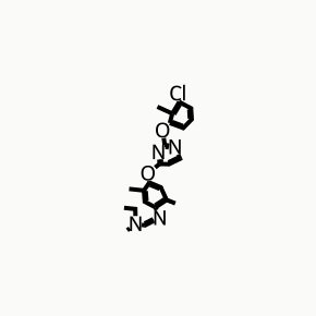 CCN(C)/C=N\c1cc(C)c(Oc2ccnc(Oc3cccc(Cl)c3C)n2)cc1C